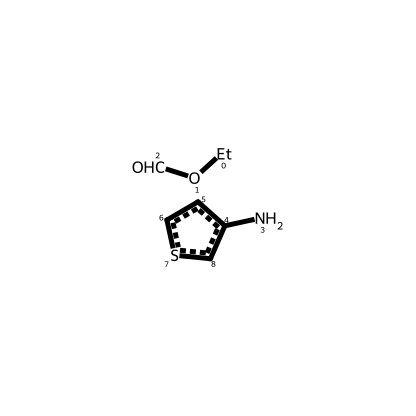 CCOC=O.Nc1ccsc1